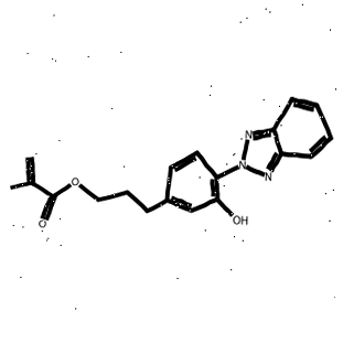 C=C(C)C(=O)OCCCc1ccc(-n2nc3ccccc3n2)c(O)c1